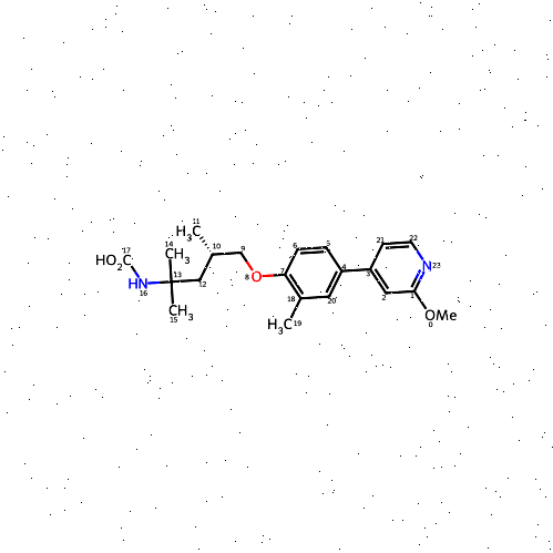 COc1cc(-c2ccc(OC[C@@H](C)CC(C)(C)NC(=O)O)c(C)c2)ccn1